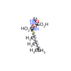 CCNC(=O)N[C@H](CC(=O)N[C@@H](CSC/C=C(\C)CC/C=C(\C)CCC=C(C)C)C(=O)O)C(=O)O